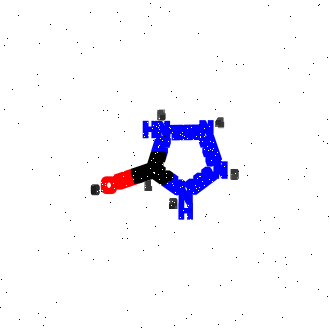 O=c1[nH]nn[nH]1